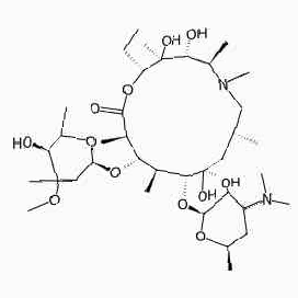 CC[C@H]1OC(=O)[C@H](C)[C@@H](O[C@H]2CC(C)(OC)[C@@H](O)C(C)O2)[C@H](C)[C@@H](O[C@@H]2O[C@H](C)CC(N(C)C)C2O)[C@](C)(O)C[C@@H](C)CN(C)[C@H](C)[C@@H](O)[C@]1(C)O